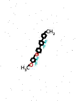 C=Cc1ccc(-c2ccc(-c3ccc(OCC4=CCC(OCC)C(F)=C4F)cc3)c(F)c2F)cc1